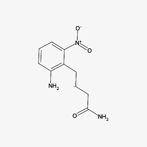 NC(=O)C[CH]Cc1c(N)cccc1[N+](=O)[O-]